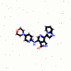 O=C1NCc2c(-c3cnc4ccccn34)ncc(Nc3ccc(N4CCOCC4)cn3)c21